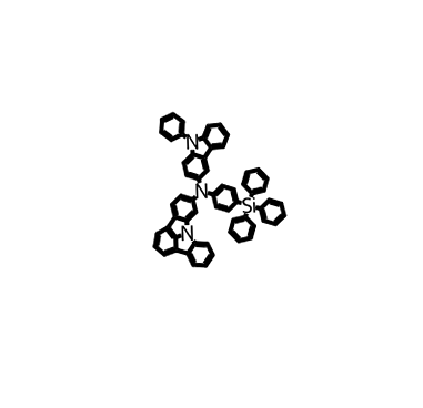 c1ccc(-n2c3ccccc3c3cc(N(c4ccc([Si](c5ccccc5)(c5ccccc5)c5ccccc5)cc4)c4ccc5c6cccc7c8ccccc8n(c5c4)c76)ccc32)cc1